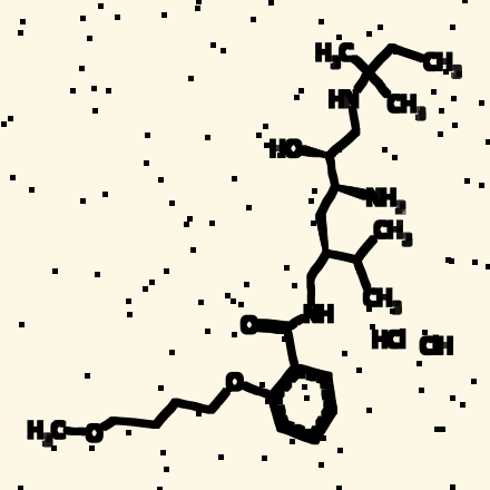 CCC(C)(C)NC[C@H](O)[C@@H](N)C[C@H](CNC(=O)c1ccccc1OCCCCOC)C(C)C.Cl.Cl